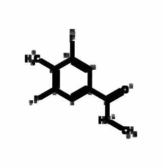 CNC(=O)c1cc(F)c(C)c(F)c1